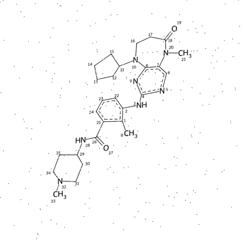 Cc1c(Nc2ncc3c(n2)N(C2CCCC2)CCC(=O)N3C)cccc1C(=O)NC1CCN(C)CC1